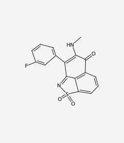 CNC1=C(c2cccc(F)c2)C2=NS(=O)(=O)c3cccc(c32)C1=O